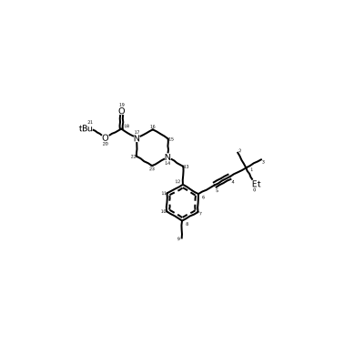 CCC(C)(C)C#Cc1cc(C)ccc1CN1CCN(C(=O)OC(C)(C)C)CC1